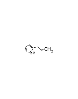 C=CCc1ccc[se]1